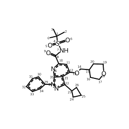 CC(C)(C)S(=O)(=O)NC(=O)c1cc(OCC2CCOCC2)c2c(C3CCC3)nn(-c3ccccc3)c2n1